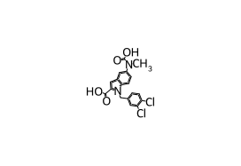 CN(C(=O)O)c1ccc2c(c1)cc(C(=O)O)n2Cc1ccc(Cl)c(Cl)c1